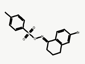 Cc1ccc(S(=O)(=O)ON=C2CCCc3cc(Br)ccc32)cc1